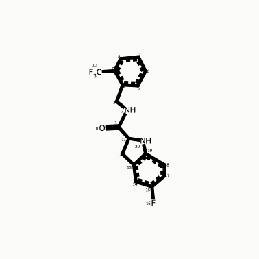 O=C(NCc1ccccc1C(F)(F)F)C1Cc2cc(F)ccc2N1